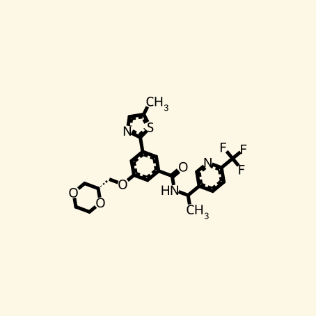 Cc1cnc(-c2cc(OC[C@H]3COCCO3)cc(C(=O)NC(C)c3ccc(C(F)(F)F)nc3)c2)s1